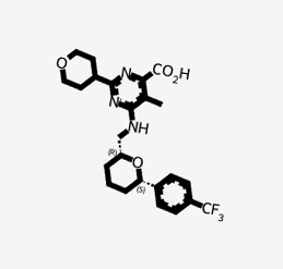 Cc1c(NC[C@H]2CCC[C@@H](c3ccc(C(F)(F)F)cc3)O2)nc(C2CCOCC2)nc1C(=O)O